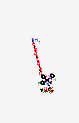 CC(C)c1c(C(=O)Nc2ccccc2)c(-c2ccc(OCCOCCOCCOCCOCCOCCOCCN)cc2)c(-c2ccc(F)cc2)n1CC[C@@H]1C[C@H](CC(=O)OC(C)(C)C)OC(C)(C)O1